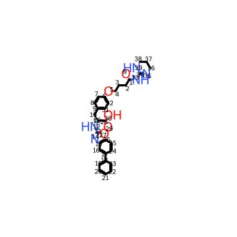 O=C(CCCOc1ccc(C[C@H](Nc2nc3cc(-c4ccccc4)ccc3o2)C(=O)O)cc1)NC1=NCCCN1